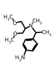 COCC(COC)N(C)C(C)c1ccc(N)cc1